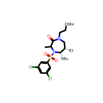 CCCC[C@H]1[C@@H](CC)CN(CCOC)C(=O)C(C)N1S(=O)(=O)c1cc(Cl)cc(Cl)c1